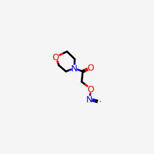 [CH]=NOCC(=O)N1CCOCC1